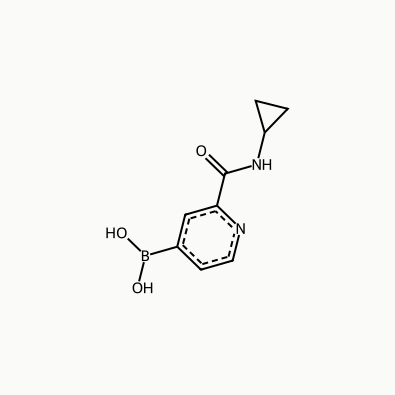 O=C(NC1CC1)c1cc(B(O)O)ccn1